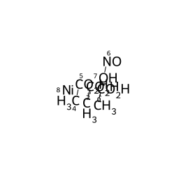 CC(=O)O.CC(=O)O.CC(=O)O.O=NO.[Ni]